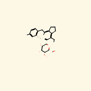 C=C(/C(CC(C)C)=C1/CCC/C1=C(/C)Cc1ccc(C)cc1)[C@@H]1O[C@H](CO)[C@@H](O)[C@H](O)[C@H]1O